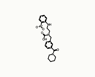 O=C(O)N(CCNc1ccccc1[N+](=O)[O-])Cc1cccc(C(=O)N2CCCCC2)c1